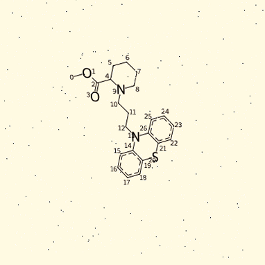 COC(=O)C1CCCCN1CCCN1c2ccccc2Sc2ccccc21